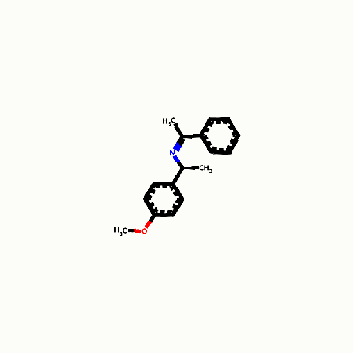 COc1ccc([C@H](C)N=C(C)c2ccccc2)cc1